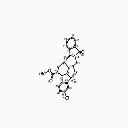 CC(C)(C)OC(=O)N1CCCC([C@@](C)(OCCN2C(=O)c3ccccc3C2=O)c2cccc(Cl)c2)C1